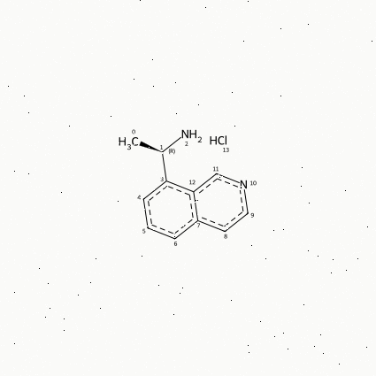 C[C@@H](N)c1cccc2ccncc12.Cl